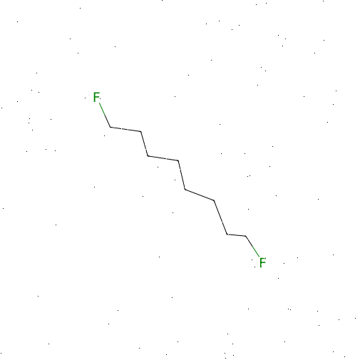 FCCCCCCCCF